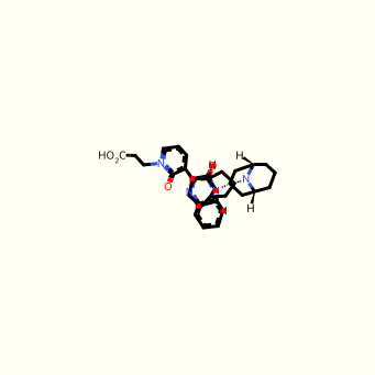 O=C(O)CCn1cccc(-c2nc3ccccc3n([C@H]3C[C@H]4CCC[C@@H](C3)N4[C@H]3C[C@@H]4CCC[C@@H](C4)C3)c2=O)c1=O